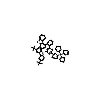 CC(C)(C)c1ccc2c(c1)c1cc(C(C)(C)C)ccc1n2-c1nc(-c2cccc(S(c3ccccc3)(c3ccccc3)c3ccccc3)c2)nc(-c2ccccc2-c2cccc3oc4ccccc4c23)n1